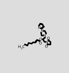 CCCCCCC=CC(=O)OC(CN1CCN(c2ccccn2)CC1)CN1C(=O)CCC1=O